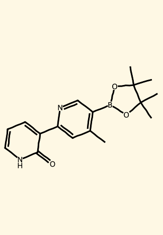 Cc1cc(-c2ccc[nH]c2=O)ncc1B1OC(C)(C)C(C)(C)O1